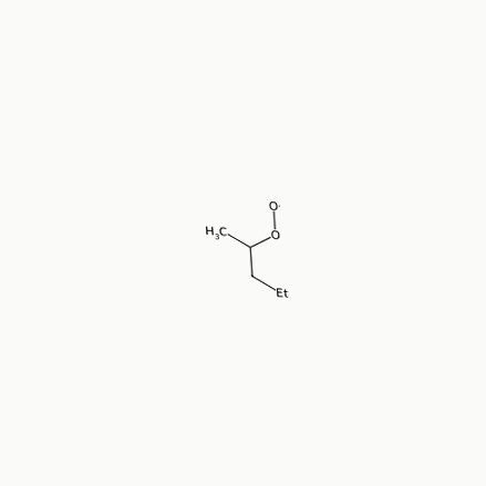 CCCC(C)O[O]